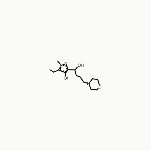 CCc1c(Br)c(C(O)CCCN2CCOCC2)nn1C